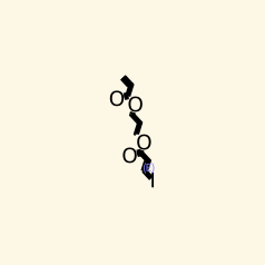 C=CC(=O)OCCCOC(=O)/C=C/I